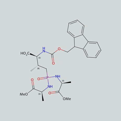 COC(=O)[C@H](C)NP(=O)(C[C@H](C)[C@H](NC(=O)OCC1c2ccccc2-c2ccccc21)C(=O)O)N[C@@H](C)C(=O)OC